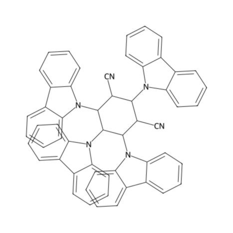 N#CC1C(n2c3ccccc3c3ccccc32)C(C#N)C(n2c3ccccc3c3ccccc32)C(n2c3ccccc3c3ccccc32)C1n1c2ccccc2c2ccccc21